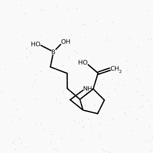 C=C(O)C12CCC(CN1)C2CCCB(O)O